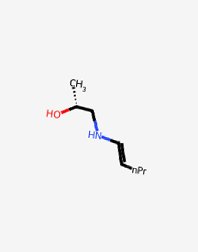 CCC/C=[C]/NC[C@@H](C)O